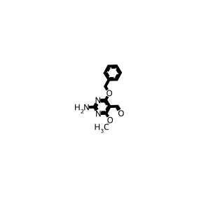 COc1nc(N)nc(OCc2ccccc2)c1C=O